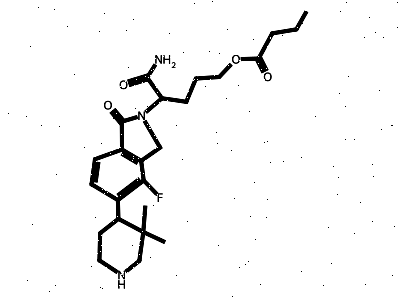 CCCC(=O)OCCCC(C(N)=O)N1Cc2c(ccc(C3CCNCC3(C)C)c2F)C1=O